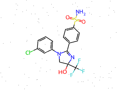 NS(=O)(=O)c1ccc(C2=NC(O)(C(F)(F)F)CN2c2cccc(Cl)c2)cc1